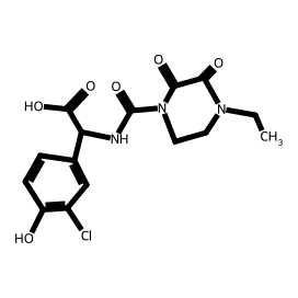 CCN1CCN(C(=O)NC(C(=O)O)c2ccc(O)c(Cl)c2)C(=O)C1=O